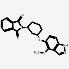 CSc1c(O[C@H]2CCC[C@H](N3C(=O)c4ccccc4C3=O)C2)ccc2[nH]ncc12